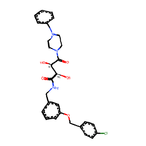 O=C(NCc1cccc(OCc2ccc(Cl)cc2)c1)[C@H](O)[C@@H](O)C(=O)N1CCN(c2ccccc2)CC1